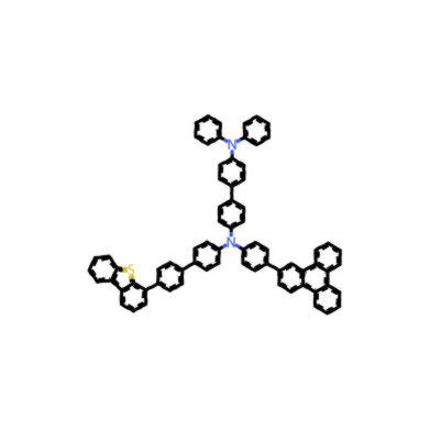 c1ccc(N(c2ccccc2)c2ccc(-c3ccc(N(c4ccc(-c5ccc(-c6cccc7c6sc6ccccc67)cc5)cc4)c4ccc(-c5ccc6c7ccccc7c7ccccc7c6c5)cc4)cc3)cc2)cc1